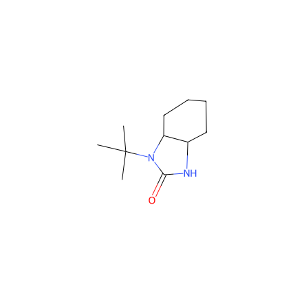 CC(C)(C)N1C(=O)NC2CCCCC21